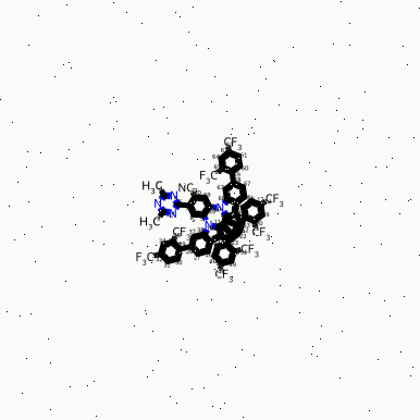 Cc1nc(C)nc(-c2cc(-n3c4cc(-c5ccc(C(F)(F)F)cc5C(F)(F)F)ccc4c4ccc(-c5ccc(C(F)(F)F)cc5C(F)(F)F)cc43)c(-n3c4cc(-c5ccc(C(F)(F)F)cc5C(F)(F)F)ccc4c4ccc(-c5ccc(C(F)(F)F)cc5C(F)(F)F)cc43)cc2C#N)n1